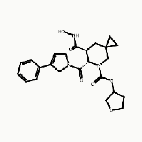 O=C(NO)[C@H]1CC2(CC2)CN(C(=O)OC2CCOC2)[C@@H]1C(=O)N1CC=C(c2ccccc2)C1